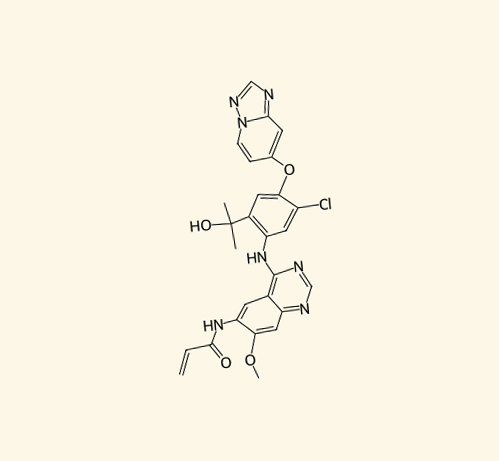 C=CC(=O)Nc1cc2c(Nc3cc(Cl)c(Oc4ccn5ncnc5c4)cc3C(C)(C)O)ncnc2cc1OC